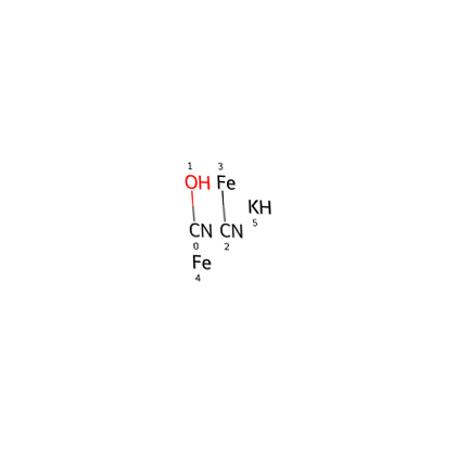 N#CO.N#[C][Fe].[Fe].[KH]